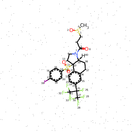 C[S+]([O-])CCC(=O)N1CC[C@@]2(S(=O)(=O)c3ccc(I)cc3)c3ccc(C(F)(C(F)(F)F)C(F)(F)F)cc3CC[C@@H]12